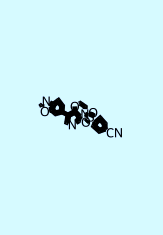 N#Cc1ccc(S(=O)(=O)N2CCOc3c(-c4ccc5ncoc5c4)cncc32)cc1